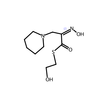 O=C(SCCO)/C(CN1CCCCC1)=N\O